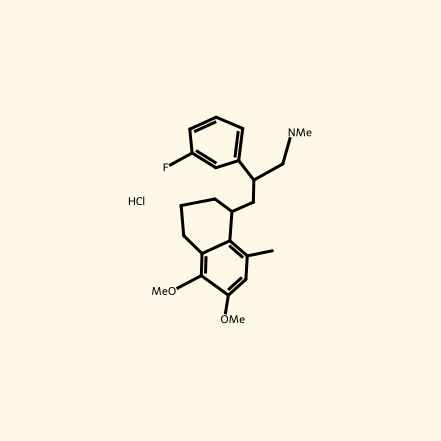 CNCC(CC1CCCc2c(OC)c(OC)cc(C)c21)c1cccc(F)c1.Cl